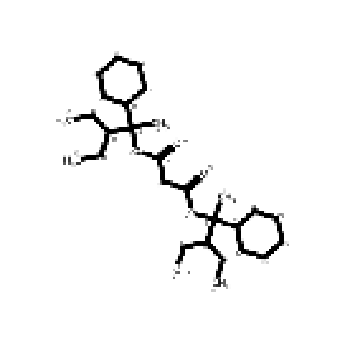 CCC(CC)C(C)(OC(=O)CC(=O)OC(C)(C(CC)CC)C1CCCCC1)C1CCCCC1